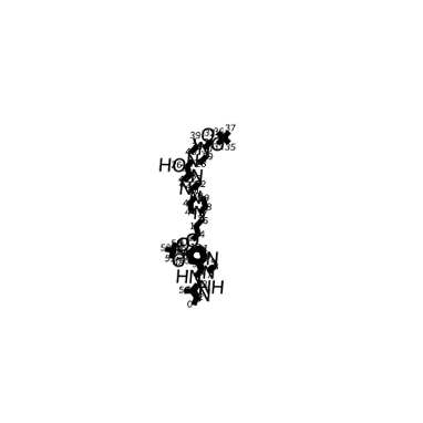 Cc1n[nH]c(Nc2ncnc3cc(OCCCN4CCN(c5cnc(C(O)N6CCN(C(=O)OC(C)(C)C)[C@H](C)C6)cn5)CC4)c(S(=O)(=O)C(C)(C)C)cc23)c1C